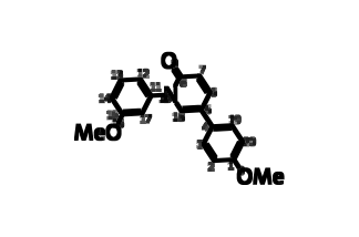 COc1ccc(-c2ccc(=O)n(-c3cccc(OC)c3)c2)cc1